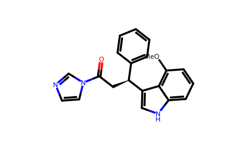 COc1cccc2[nH]cc([C@@H](CC(=O)n3ccnc3)c3ccccc3)c12